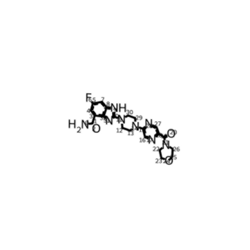 NC(=O)c1cc(F)cc2[nH]c(N3CCN(c4cnc(C(=O)N5CCOCC5)cn4)CC3)nc12